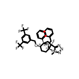 Cn1nnnc1[C@]1(F)C[C@@]2(c3ccccc3)[C@H](OCc3cc(C(F)(F)F)cc(C(F)(F)F)c3)CC[C@@H]1N2Cc1ccccc1